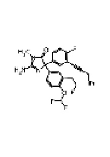 CC(C)CC#Cc1cc(C2(c3ccc(OC(F)F)c(CCF)c3)N=C(N)N(C)C2=O)ccc1F